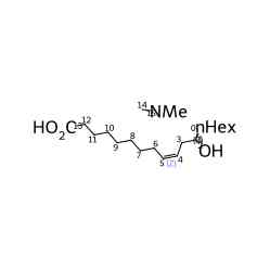 CCCCCC[C@@H](O)C/C=C\CCCCCCCC(=O)O.CNC